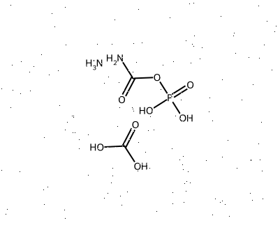 N.NC(=O)OP(=O)(O)O.O=C(O)O